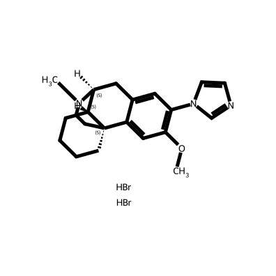 Br.Br.COc1cc2c(cc1-n1ccnc1)C[C@H]1[C@H]3CCCC[C@@]23CCN1C